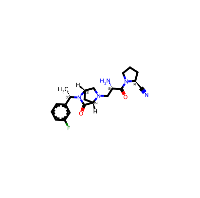 C[C@@H](c1cccc(F)c1)N1C(=O)[C@@H]2C[C@H]1CN2C[C@H](N)C(=O)N1CCC[C@H]1C#N